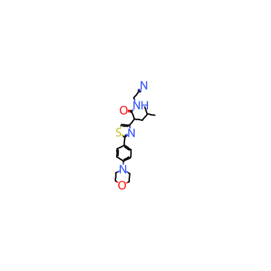 CC(C)CC(C(=O)NCC#N)c1csc(-c2ccc(N3CCOCC3)cc2)n1